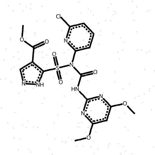 COC(=O)c1cn[nH]c1S(=O)(=O)N(C(=O)Nc1nc(OC)cc(OC)n1)c1cccc(Cl)n1